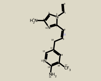 C=Cn1cc(N)nc1/C=C\Cc1cnc(N)c(C(F)(F)F)c1